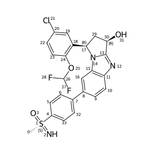 C[S@](=N)(=O)c1ccc(-c2ccc3nc4n(c3c2)[C@@H](c2cc(Cl)ccc2OC(F)F)C[C@H]4O)cc1